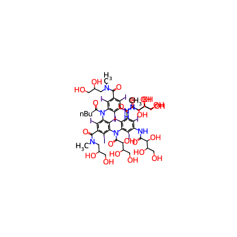 CCCCC(=O)N(c1c(I)c(NC(=O)C(O)C(O)CO)c(I)c(C(=O)N(C)CC(O)CO)c1I)c1c(I)c(C(=O)N(C)CC(O)CO)c(I)c(N(C(=O)C(O)C(O)CO)c2c(I)c(NC(=O)C(O)C(O)CO)c(I)c(C(=O)N(C)CC(O)CO)c2I)c1I